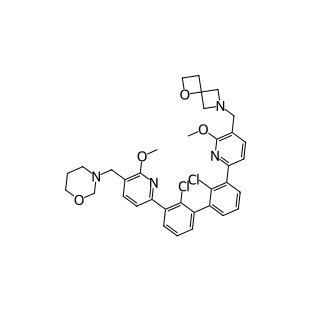 COc1nc(-c2cccc(-c3cccc(-c4ccc(CN5CC6(CCO6)C5)c(OC)n4)c3Cl)c2Cl)ccc1CN1CCCOC1